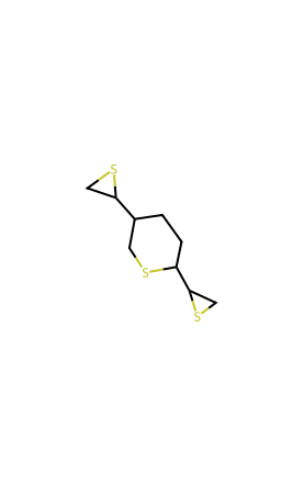 C1CC(C2CS2)SCC1C1CS1